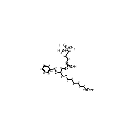 CCCCCCCCCCCCCCCCOCC(COP(O)OCCC[N+](C)(C)C)OCc1ccccc1